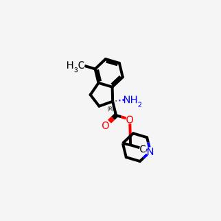 Cc1cccc2c1CC[C@]2(N)C(=O)OC1CN2CCC1CC2